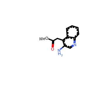 COC(=O)Cc1c(N)cnc2ccccc12